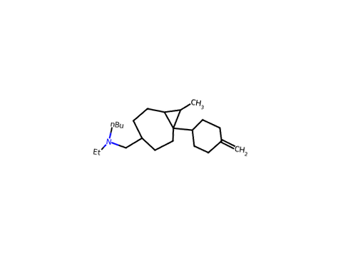 C=C1CCC(C23CCC(CN(CC)CCCC)CCC2C3C)CC1